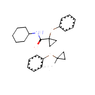 O=C(NC1CCCCC1)C1(Sc2ccccc2)CC1.O=C(O)C1(Sc2ccccc2)CC1